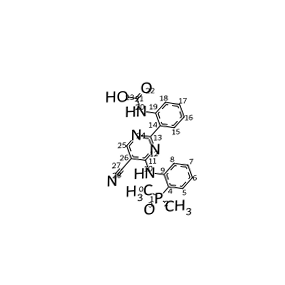 CP(C)(=O)c1ccccc1Nc1nc(-c2ccccc2NC(=O)O)ncc1C#N